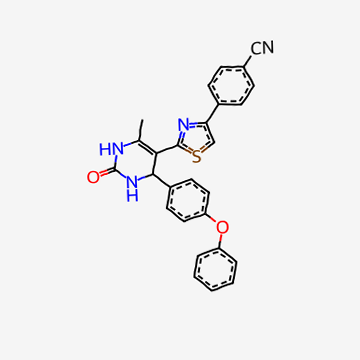 CC1=C(c2nc(-c3ccc(C#N)cc3)cs2)C(c2ccc(Oc3ccccc3)cc2)NC(=O)N1